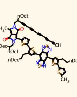 C#CC#CC#CC#CC#CC(CCCCCCCC)CN1C(=O)C2=C(c3ccc(-c4sc(-c5c6c(c(-c7cc(CCCCCCCCCCCC)c(-c8ccc(C)s8)s7)c7nsnc57)N=S=N6)cc4CCCCCCCCCCCC)s3)N(CC(CCCCCCCC)CCCCCCCCCC)C(=O)C2=C1C